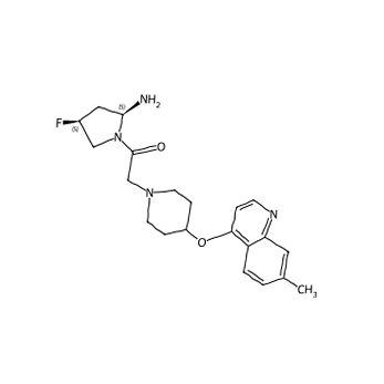 Cc1ccc2c(OC3CCN(CC(=O)N4C[C@@H](F)C[C@H]4N)CC3)ccnc2c1